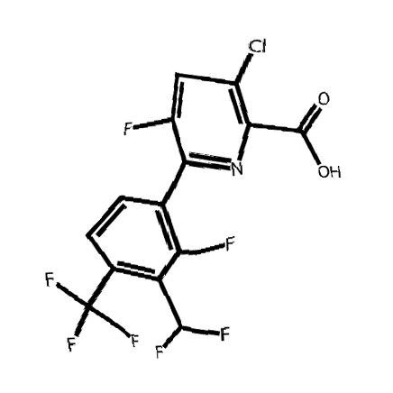 O=C(O)c1nc(-c2ccc(C(F)(F)F)c(C(F)F)c2F)c(F)cc1Cl